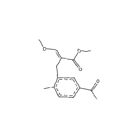 CO/C=C(\Cc1cc(C(C)=O)ccc1C)C(=O)OC